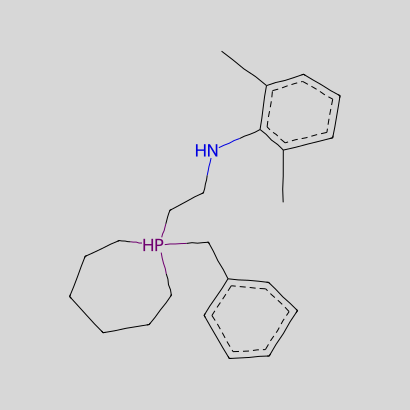 Cc1cccc(C)c1NCC[PH]1(Cc2ccccc2)CCCCCC1